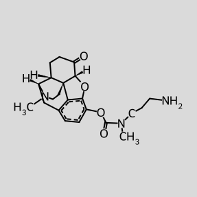 CN(CCCN)C(=O)Oc1ccc2c3c1O[C@H]1C(=O)CC[C@H]4[C@@H](C2)N(C)CC[C@]314